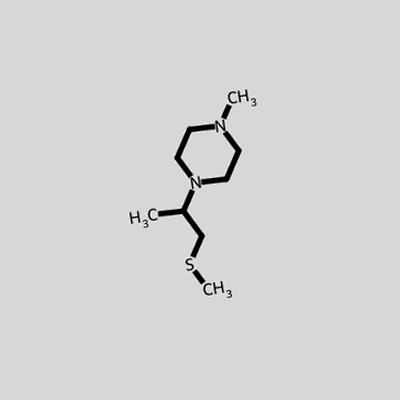 CSCC(C)N1CCN(C)CC1